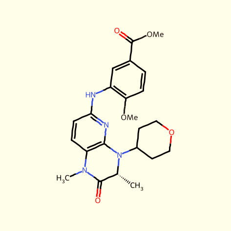 COC(=O)c1ccc(OC)c(Nc2ccc3c(n2)N(C2CCOCC2)[C@H](C)C(=O)N3C)c1